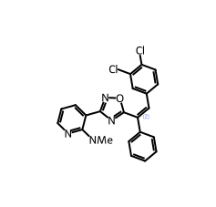 CNc1ncccc1-c1noc(/C(=C\c2ccc(Cl)c(Cl)c2)c2ccccc2)n1